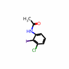 CC(=O)Nc1cccc(Cl)c1I